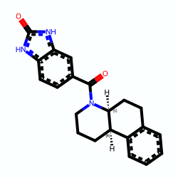 O=C(c1ccc2[nH]c(=O)[nH]c2c1)N1CCC[C@@H]2c3ccccc3CC[C@@H]21